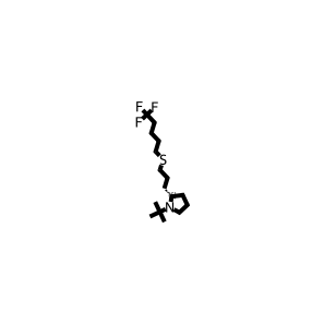 CC(C)(C)N1CCC[C@H]1CCCSCCCCC(F)(F)F